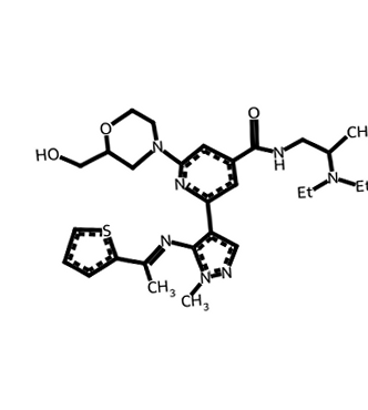 CCN(CC)C(C)CNC(=O)c1cc(-c2cnn(C)c2/N=C(\C)c2cccs2)nc(N2CCOC(CO)C2)c1